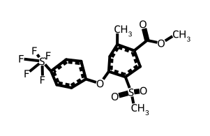 COC(=O)c1cc(S(C)(=O)=O)c(Oc2ccc(S(F)(F)(F)(F)F)cc2)cc1C